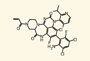 C=CC(=O)N1CCN2c3nc(=O)n(-c4c(C)ccnc4C(C)C)c4c(Cl)c(-c5c(N)c(Cl)cc(Cl)c5F)c(F)c(c34)NC(=O)C2C1